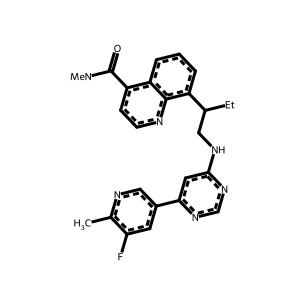 CCC(CNc1cc(-c2cnc(C)c(F)c2)ncn1)c1cccc2c(C(=O)NC)ccnc12